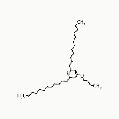 CCCCCCCCCCCCc1cc(OCCCC)cc(CCCCCCCCCCCC)n1